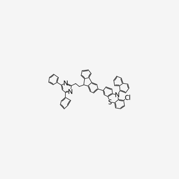 Clc1cccc2c1N(c1cccc3ccccc13)c1ccc(-c3ccc4c(c3)-c3ccccc3C4CCc3nc(-c4ccccc4)cc(-c4ccccc4)n3)cc1S2